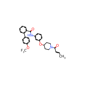 CC=CC(=O)N1CCC(Oc2cccc(NC(=O)c3ccccc3-c3ccc(OC(F)(F)F)cc3)c2)CC1